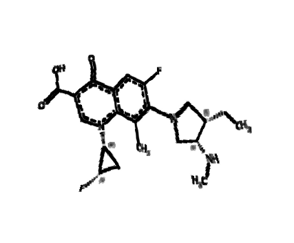 CC[C@H]1CN(c2c(F)cc3c(=O)c(C(=O)O)cn([C@@H]4C[C@@H]4F)c3c2C)C[C@H]1NC